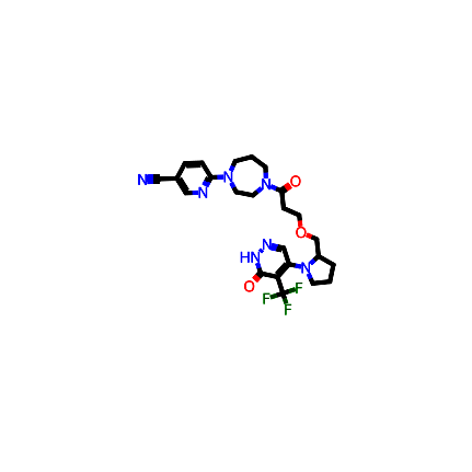 N#Cc1ccc(N2CCCN(C(=O)CCOCC3CCCN3c3cn[nH]c(=O)c3C(F)(F)F)CC2)nc1